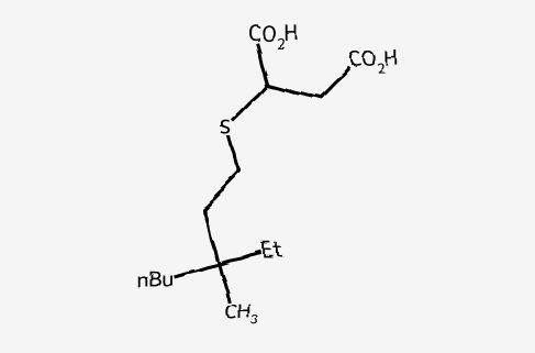 CCCCC(C)(CC)CCSC(CC(=O)O)C(=O)O